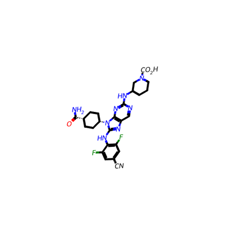 N#Cc1cc(F)c(Nc2nc3cnc(NC4CCCN(C(=O)O)C4)nc3n2[C@H]2CC[C@@H](C(N)=O)CC2)c(F)c1